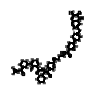 CCc1cc2ncc(CN3CCN(c4ccc(C(=O)NCCCOC5CCN(C(=O)[C@H](NC(=O)c6cccc(C7CCCN(C(=O)C8CC8)C7)c6F)C6CCCCC6)CC5)nc4)CC3)cc2[nH]c1=O